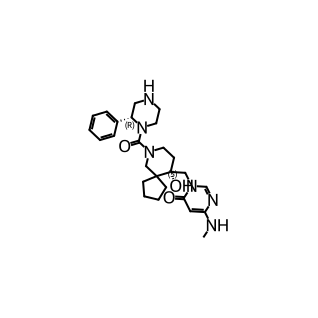 CNc1cc(=O)n(C[C@]2(O)CCN(C(=O)N3CCNC[C@H]3c3ccccc3)CC23CCCC3)cn1